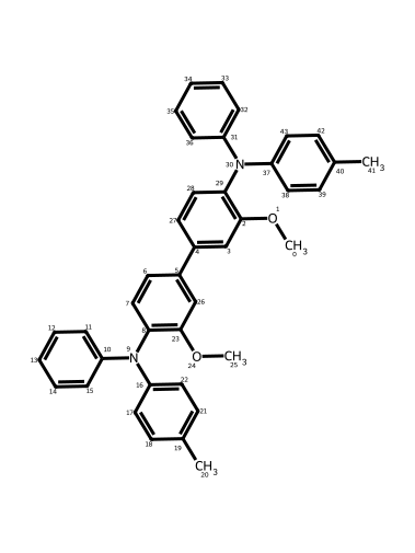 COc1cc(-c2ccc(N(c3ccccc3)c3ccc(C)cc3)c(OC)c2)ccc1N(c1ccccc1)c1ccc(C)cc1